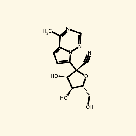 Cc1ncnn2c([C@]3(C#N)O[C@H](CO)[C@@H](O)[C@H]3O)ccc12